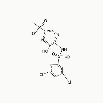 CS(=O)(=O)c1cnc(NS(=O)(=O)c2cc(Cl)cc(Cl)c2)c(O)n1